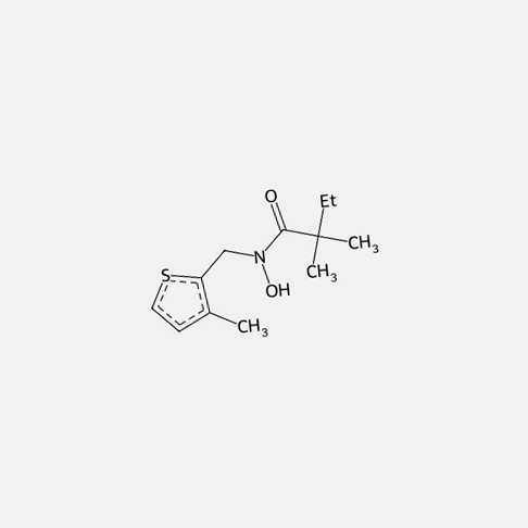 CCC(C)(C)C(=O)N(O)Cc1sccc1C